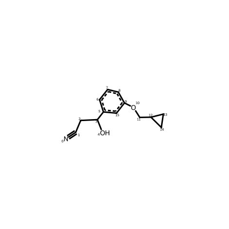 N#CCC(O)c1cccc(OCC2CC2)c1